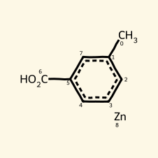 Cc1cccc(C(=O)O)c1.[Zn]